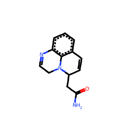 NC(=O)CC1C=Cc2cccc3c2N1CC=N3